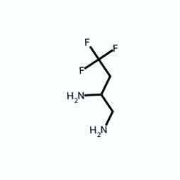 NCC(N)CC(F)(F)F